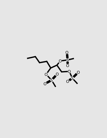 CCCCC(OS(C)(=O)=O)C(COS(C)(=O)=O)OS(C)(=O)=O